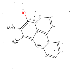 COc1c(C)c(OC(C)=O)c2c(-c3ccccc3)cccc2c1O